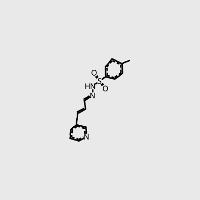 Cc1ccc(S(=O)(=O)NN=CC=Cc2cccnc2)cc1